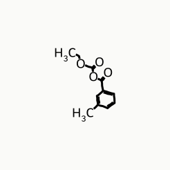 CCOC(=O)OC(=O)c1cccc(C)c1